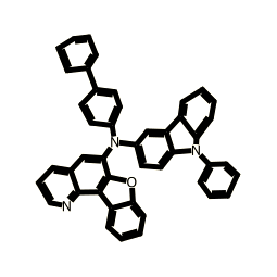 c1ccc(-c2ccc(N(c3ccc4c(c3)c3ccccc3n4-c3ccccc3)c3cc4cccnc4c4c3oc3ccccc34)cc2)cc1